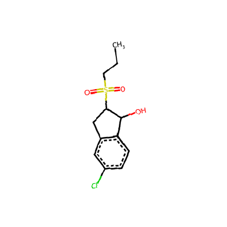 CCCS(=O)(=O)C1Cc2cc(Cl)ccc2C1O